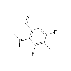 C=Cc1cc(F)c(C)c(F)c1PC